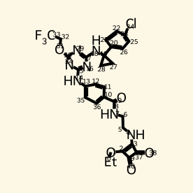 CCOc1c(NCCNC(=O)c2ccc(Nc3nc(NC4(c5ccc(Cl)cc5)CC4)nc(OCC(F)(F)F)n3)cc2)c(=O)c1=O